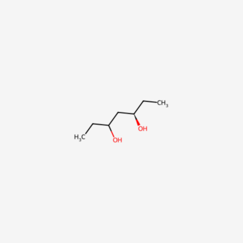 CCC(O)C[C@H](O)CC